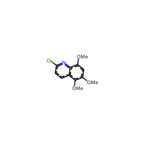 COc1cc(OC)c2nc(Cl)ccc2c1OC